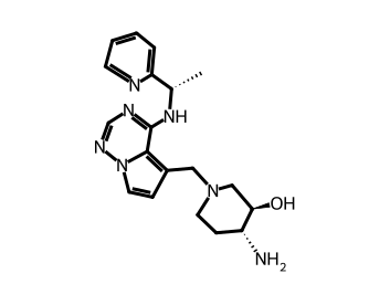 C[C@H](Nc1ncnn2ccc(CN3CC[C@@H](N)[C@H](O)C3)c12)c1ccccn1